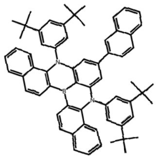 CC(C)(C)c1cc(N2c3cc(-c4ccc5ccccc5c4)cc4c3B(c3ccc5ccccc5c32)c2ccc3ccccc3c2N4c2cc(C(C)(C)C)cc(C(C)(C)C)c2)cc(C(C)(C)C)c1